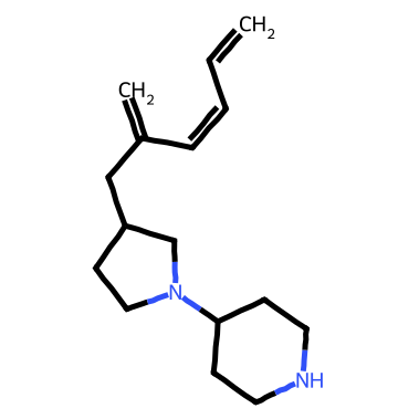 C=C/C=C\C(=C)CC1CCN(C2CCNCC2)C1